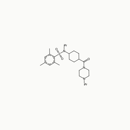 Cc1cc(C)c(S(=O)(=O)N(C(C)C)C2CCC(C(=O)N3CCN(C(C)C)CC3)CC2)c(C)c1